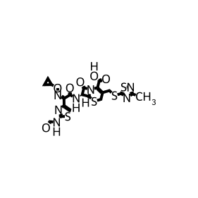 Cc1nsc(SCC2=C(C(=O)O)N3C(=O)[C@@H](NC(=O)/C(=N\OC4CC4)c4csc(NC=O)n4)[C@H]3SC2)n1